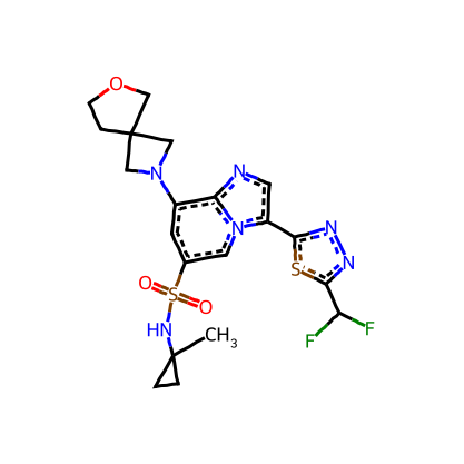 CC1(NS(=O)(=O)c2cc(N3CC4(CCOC4)C3)c3ncc(-c4nnc(C(F)F)s4)n3c2)CC1